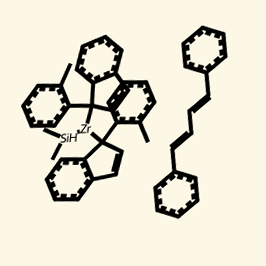 C(C=Cc1ccccc1)=Cc1ccccc1.Cc1ccccc1[C]1([Zr]([SiH](C)C)[C]2(c3ccccc3C)C=Cc3ccccc32)C=Cc2ccccc21